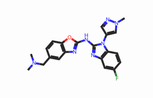 CN(C)Cc1ccc2oc(Nc3nc4cc(F)ccc4n3-c3cnn(C)c3)nc2c1